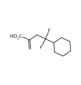 C=C(CC(F)(F)C1CCCCC1)C(=O)O